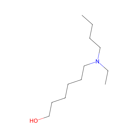 CCCCN(CC)CCCCCCO